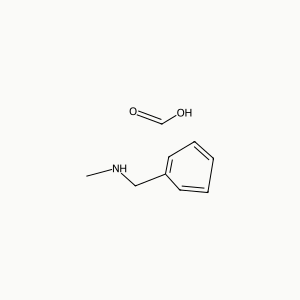 CNCc1ccccc1.O=CO